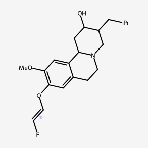 COc1cc2c(cc1O/C=C/F)CCN1CC(CC(C)C)C(O)CC21